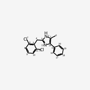 Cc1[nH]c(Cc2c(Cl)cccc2Cl)nc1-c1ccccc1